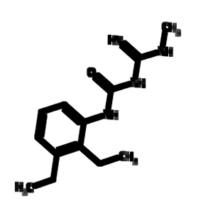 CCc1cccc(NC(=O)NC(=N)NC)c1CC